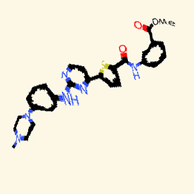 COC(=O)c1cccc(NC(=O)c2ccc(-c3ccnc(Nc4cccc(N5CCN(C)CC5)c4)n3)s2)c1